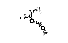 CC(C)COC(=O)N1C[C@H](CC(=O)O)[C@H](c2cccc(OCc3noc(-c4ccc(OC(F)(F)F)cc4)n3)c2)C1